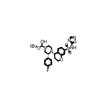 CC(C)(C)OC(O)N1CCN([C@H]2CCOc3cc(S(=O)(=O)Nc4ncns4)ccc32)[C@H](c2ccc(F)cc2)C1